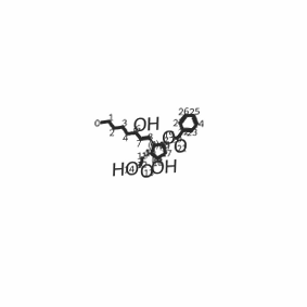 CCCCCC(O)C=C[C@@H]1[C@@H](CC(=O)O)[C@@H](O)C[C@H]1OC(=O)c1ccccc1